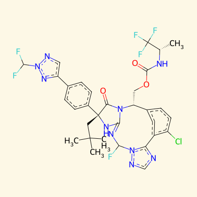 C[C@H](NC(=O)OC[C@@H]1c2ccc(Cl)c(c2)-c2ncnn2C(F)/N=C2\N[C@](CC(C)(C)C)(c3ccc(-c4cnn(C(F)F)n4)cc3)C(=O)N21)C(F)(F)F